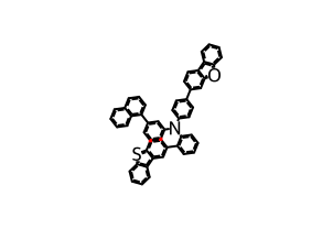 c1cc(-c2cccc3ccccc23)cc(N(c2ccc(-c3ccc4c(c3)oc3ccccc34)cc2)c2ccccc2-c2ccc3sc4ccccc4c3c2)c1